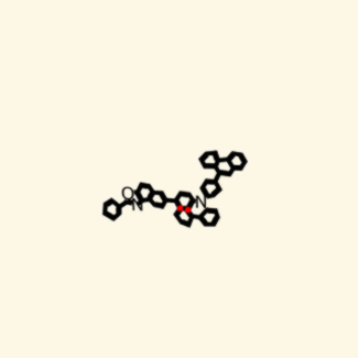 c1ccc(-c2nc3c(ccc4cc(-c5ccc(N(c6ccc(-c7cc8ccccc8c8ccccc78)cc6)c6ccccc6-c6ccccc6)cc5)ccc43)o2)cc1